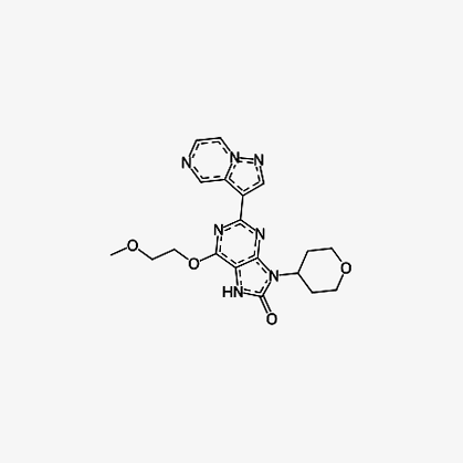 COCCOc1nc(-c2cnn3ccncc23)nc2c1[nH]c(=O)n2C1CCOCC1